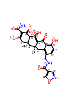 NC(=O)C1=C(O)C[C@@H]2C[C@@H]3Cc4c(CNC(=O)c5cnoc5)ccc(O)c4C(=O)C3=C(O)[C@]2(O)C1=O